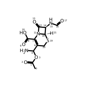 CC(=O)OC(N)C1=C(C(=O)O)N2C(=O)[C@@H](NC=O)[C@H]2SC1